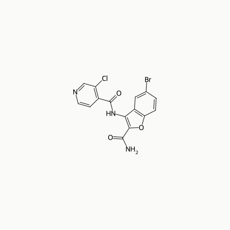 NC(=O)c1oc2ccc(Br)cc2c1NC(=O)c1ccncc1Cl